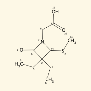 CCC1(CC)C(=O)N(CC(=O)O)C1SC